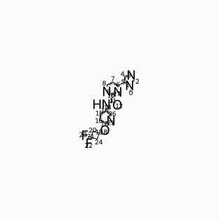 Cn1cncc1-c1ccnc(C(=O)Nc2ccc(OC3CC(F)(F)C3)nc2)n1